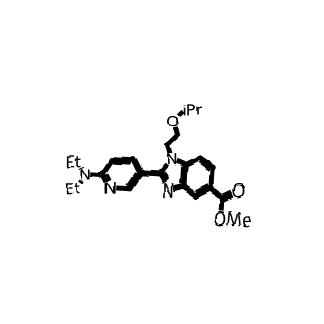 CCN(CC)c1ccc(-c2nc3cc(C(=O)OC)ccc3n2CCOC(C)C)cn1